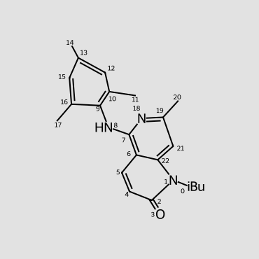 CCC(C)n1c(=O)ccc2c(Nc3c(C)cc(C)cc3C)nc(C)cc21